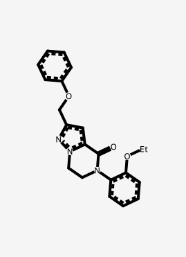 CCOc1ccccc1N1CCn2nc(COc3ccccc3)cc2C1=O